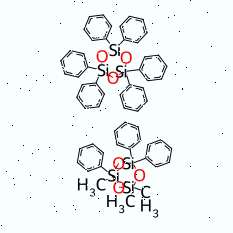 C[Si]1(C)O[Si](C)(c2ccccc2)O[Si](c2ccccc2)(c2ccccc2)O1.c1ccc([Si]2(c3ccccc3)O[Si](c3ccccc3)(c3ccccc3)O[Si](c3ccccc3)(c3ccccc3)O2)cc1